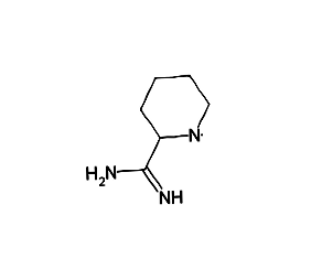 N=C(N)C1CCCC[N]1